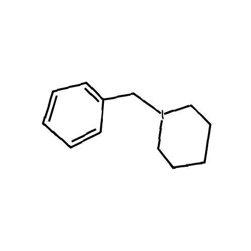 c1ccc(CI2CCCCC2)cc1